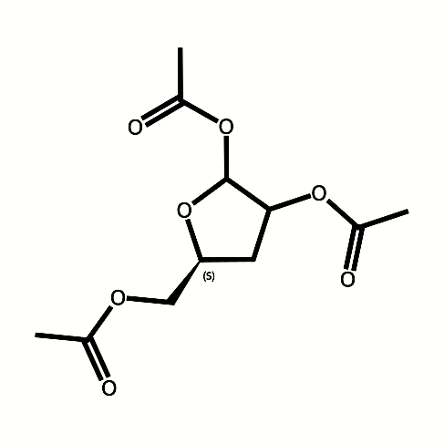 CC(=O)OC[C@@H]1CC(OC(C)=O)C(OC(C)=O)O1